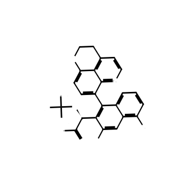 Cc1cc2c(N)cccc2c(-c2ccc3c4c(ccnc24)CCO3)c1[C@H](OC(C)(C)C)C(=O)O